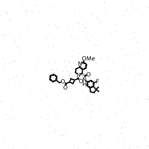 COc1ccc2c(n1)CCN(C(=O)C1CC(C(=O)OCc3ccccc3)C1)[C@H]2C(=O)Nc1cc(F)c2c(c1)CCC2(C)C